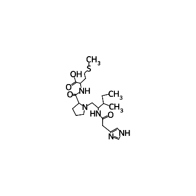 CCC(C)C(CN1CCCC1C(=O)NC(CCSC)C(=O)O)NC(=O)Cc1c[nH]cn1